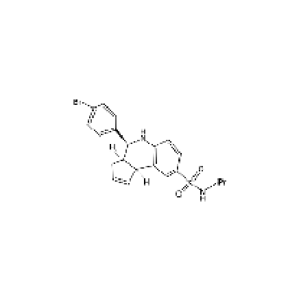 CC(C)NS(=O)(=O)c1ccc2c(c1)[C@H]1C=CC[C@H]1[C@@H](c1ccc(Br)cc1)N2